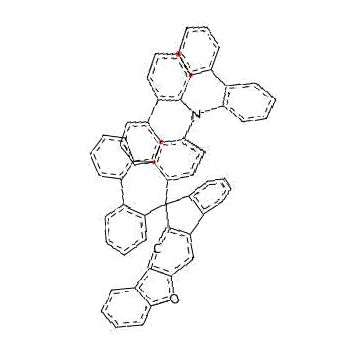 c1ccc(-c2ccccc2N(c2ccc3c(c2)-c2ccccc2-c2ccccc2C32c3ccccc3-c3cc4oc5ccccc5c4cc32)c2ccccc2-c2ccccc2)cc1